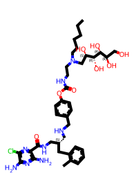 CCCCCCN(CCNC(=O)Oc1ccc(CNC[C@@H](CNC(=O)c2nc(Cl)c(N)nc2N)Cc2ccccc2C)cc1)C[C@H](O)[C@@H](O)[C@H](O)[C@H](O)CO